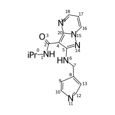 CC(C)NC(=O)c1c(NCc2ccncc2)nn2cccnc12